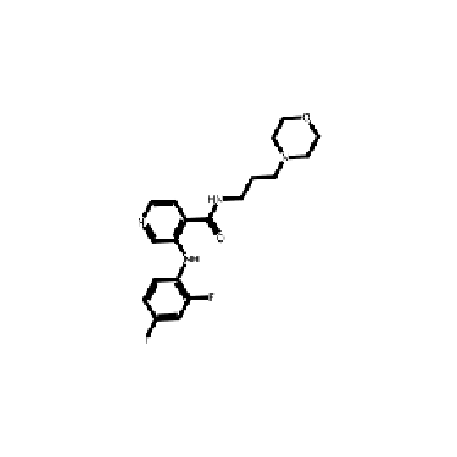 O=C(NCCCN1CCOCC1)c1ccncc1Nc1ccc(I)cc1F